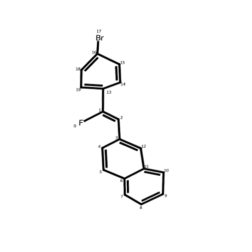 F/C(=C\c1ccc2ccccc2c1)c1ccc(Br)cc1